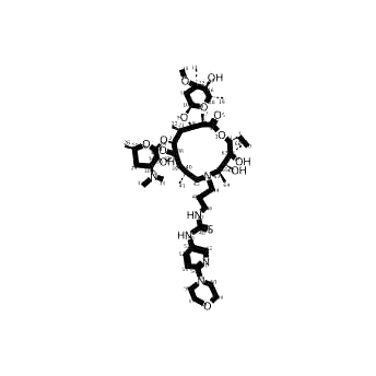 CC[C@H]1OC(=O)[C@H](C)[C@@H](O[C@H]2C[C@@](C)(OC)[C@@H](O)[C@H](C)O2)[C@H](C)[C@@H](O[C@@H]2O[C@H](C)C[C@H](N(C)C)[C@H]2O)[C@](C)(O)C[C@@H](C)CN(CCCNC(=S)Nc2ccc(N3CCOCC3)nc2)[C@H](C)[C@@H](O)[C@]1(C)O